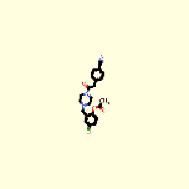 CC(=O)Oc1ccc(Cl)cc1CN1CCN(C(=O)Cc2ccc(C#N)cc2)CC1